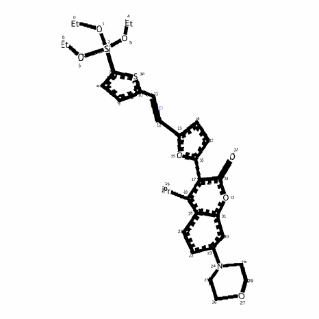 CCO[Si](OCC)(OCC)c1ccc(/C=C/c2ccc(-c3c(C(C)C)c4ccc(N5CCOCC5)cc4oc3=O)o2)s1